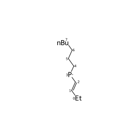 CC/C=C/[P]CCCCCCC